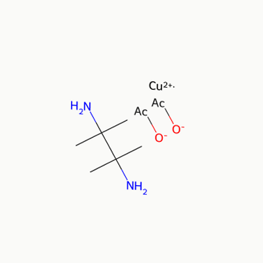 CC(=O)[O-].CC(=O)[O-].CC(C)(N)C(C)(C)N.[Cu+2]